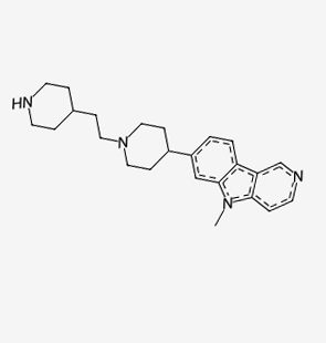 Cn1c2ccncc2c2ccc(C3CCN(CCC4CCNCC4)CC3)cc21